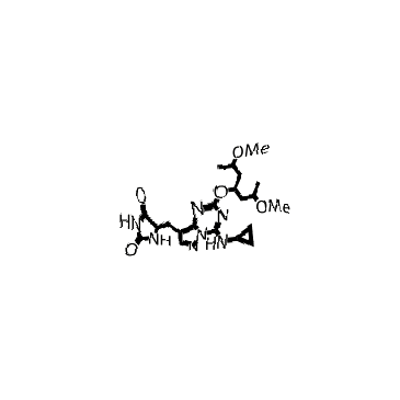 COC(C)CC(CC(C)OC)Oc1nc(NC2CC2)n2ncc(CC3NC(=O)NC3=O)c2n1